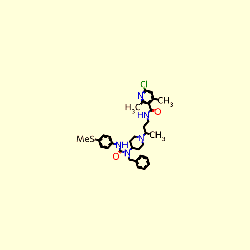 CSc1ccc(NC(=O)N(Cc2ccccc2)C2CCN(C(C)CCNC(=O)c3c(C)cc(Cl)nc3C)CC2)cc1